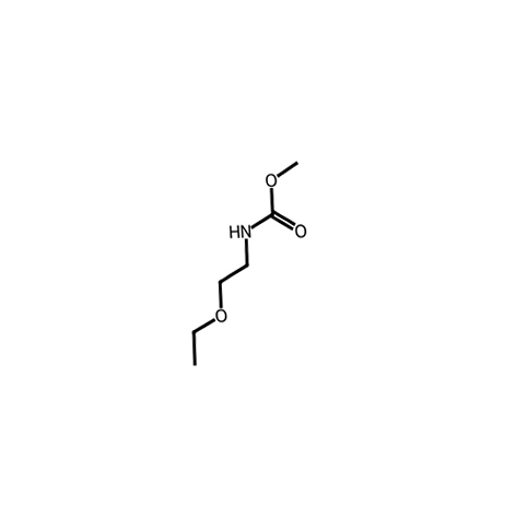 CCOCCNC(=O)OC